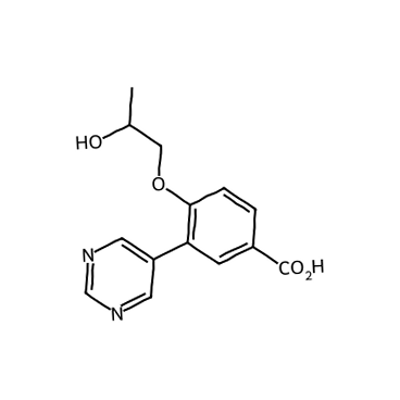 CC(O)COc1ccc(C(=O)O)cc1-c1cncnc1